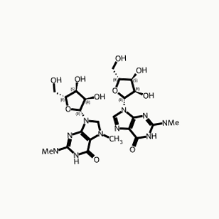 CNc1nc2c(c(=O)[nH]1)N(C)CN2[C@@H]1O[C@H](CO)[C@@H](O)[C@H]1O.CNc1nc2c(ncn2[C@@H]2O[C@H](CO)[C@@H](O)[C@H]2O)c(=O)[nH]1